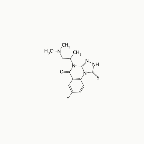 CC(CN(C)C)n1c(=O)c2cc(F)ccc2n2c(=S)[nH]nc12